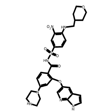 O=C(NS(=O)(=O)c1ccc(NCC2CCOCC2)c([N+](=O)[O-])c1)c1ccc(N2CCNCC2)cc1Oc1cnc2[nH]ccc2c1